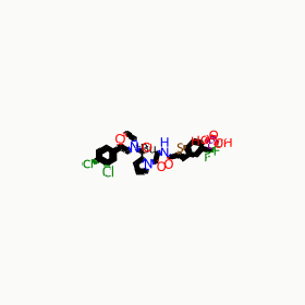 CC(C)(C)[C@H](NC(=O)c1cc2cc(C(F)(F)P(=O)(O)O)ccc2s1)C(=O)N1CCC[C@H]1C(=O)N1CCOC(c2ccc(Cl)c(Cl)c2)C1